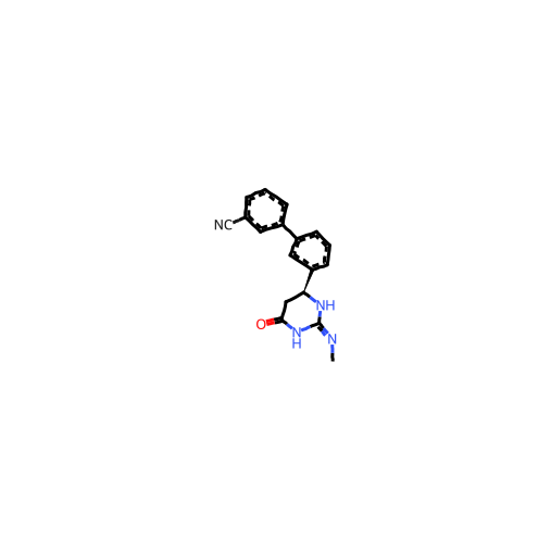 C/N=C1\NC(=O)C[C@@H](c2cccc(-c3cccc(C#N)c3)c2)N1